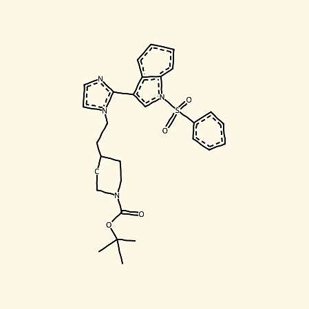 CC(C)(C)OC(=O)N1CCC(CCn2ccnc2-c2cn(S(=O)(=O)c3ccccc3)c3ccccc23)CC1